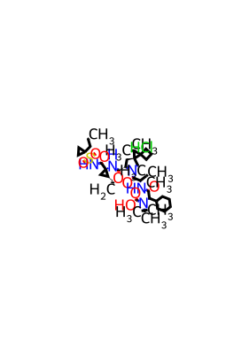 C=C[C@@H]1C[C@]1(NC(=O)[C@@H]1C[C@@]2(CN1C(=O)[C@@H](NC(=O)[C@H](C1CCCCC1)N(C(=O)O)C(C)(C)C)C(C)(C)C)C(C)(C)C21CCC1)C(=O)NS(=O)(=O)C1(CCC)CC1.Cl